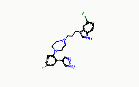 Fc1ccc(N2CCN(CCCc3c[nH]c4ccc(F)cc34)CC2)c(-c2cn[nH]c2)c1